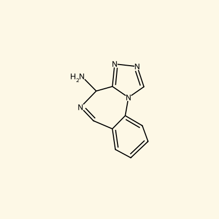 NC1N=Cc2ccccc2-n2cnnc21